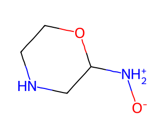 [O-][NH2+]C1CNCCO1